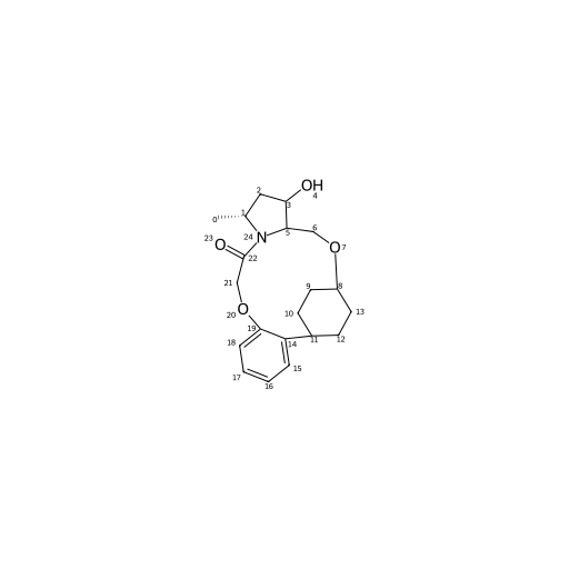 C[C@@H]1CC(O)C2COC3CCC(CC3)c3ccccc3OCC(=O)N21